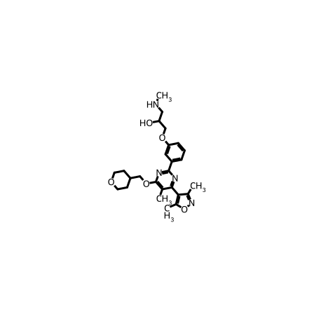 CNCC(O)COc1cccc(-c2nc(OCC3CCOCC3)c(C)c(-c3c(C)noc3C)n2)c1